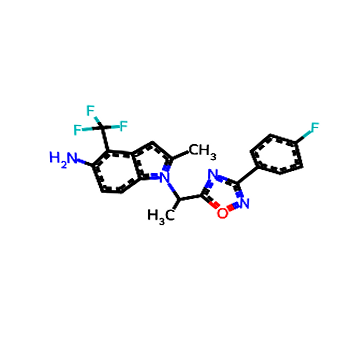 Cc1cc2c(C(F)(F)F)c(N)ccc2n1C(C)c1nc(-c2ccc(F)cc2)no1